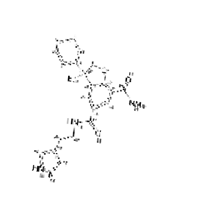 CC[C@]1(c2ccccc2)COc2c(C(=O)NC)cc(C(=O)NCCc3cn[nH]c3)cc21